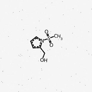 CS(=O)(=O)n1cccc1CO